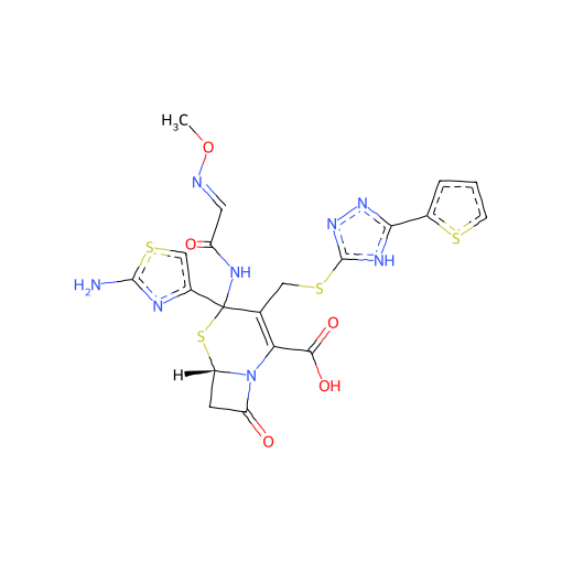 CON=CC(=O)NC1(c2csc(N)n2)S[C@H]2CC(=O)N2C(C(=O)O)=C1CSc1nnc(-c2cccs2)[nH]1